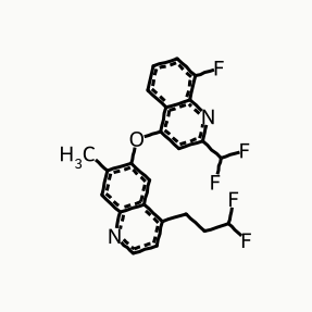 Cc1cc2nccc(CCC(F)F)c2cc1Oc1cc(C(F)F)nc2c(F)cccc12